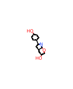 Oc1ccc(-c2cc3cc(O)coc-3n2)cc1